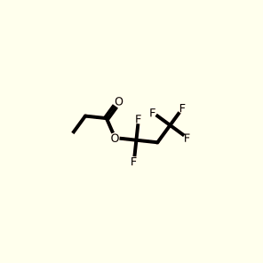 CCC(=O)OC(F)(F)CC(F)(F)F